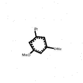 COc1cc(OC)cc(C(C)C)c1